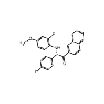 COc1ccc(N[C@H](C(=O)c2ccc3ccccc3c2)c2ccc(F)cc2)c(F)c1